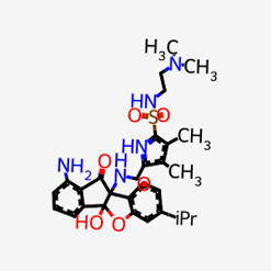 Cc1c(C(=O)NC23C(=O)c4c(N)cccc4C2(O)Oc2cc(C(C)C)ccc23)[nH]c(S(=O)(=O)NCCN(C)C)c1C